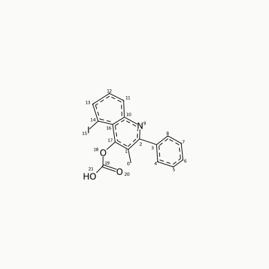 Cc1c(-c2ccccc2)nc2cccc(I)c2c1OC(=O)O